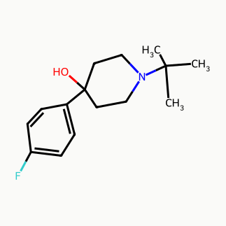 CC(C)(C)N1CCC(O)(c2ccc(F)cc2)CC1